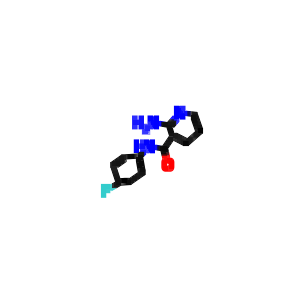 Nc1ncccc1C(=O)Nc1ccc(F)cc1